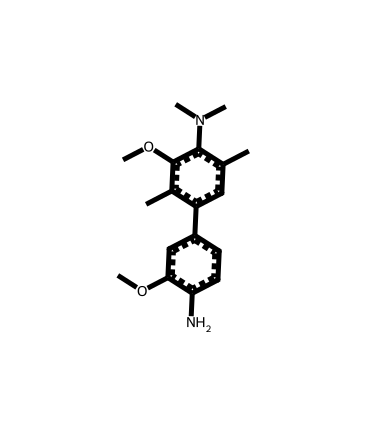 COc1cc(-c2cc(C)c(N(C)C)c(OC)c2C)ccc1N